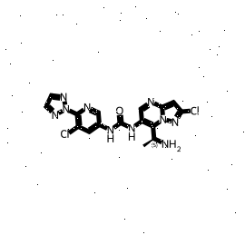 C[C@H](N)c1c(NC(=O)Nc2cnc(-n3nccn3)c(Cl)c2)cnc2cc(Cl)nn12